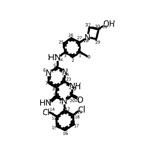 Cc1cc(Nc2ncc3c(=N)n(-c4c(Cl)cccc4Cl)c(=O)[nH]c3n2)ccc1N1CC(O)C1